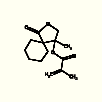 C=C(C)C(=O)OC1(C)COC(=O)C12CCCCC2